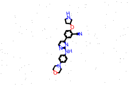 N#Cc1cc(-c2ccnc(Nc3ccc(N4CCOCC4)cc3)n2)ccc1OC1CCNC1